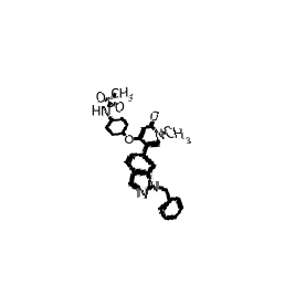 Cn1cc(-c2ccc3cnn(Cc4ccccc4)c3c2)c(OC2CCC(NS(C)(=O)=O)CC2)cc1=O